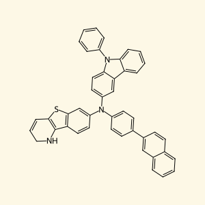 C1=Cc2sc3cc(N(c4ccc(-c5ccc6ccccc6c5)cc4)c4ccc5c(c4)c4ccccc4n5-c4ccccc4)ccc3c2NC1